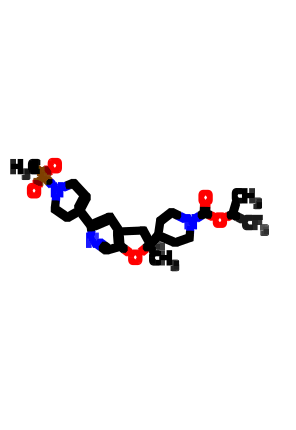 CC(OC(=O)N1CCC([C@@]2(C)Cc3cc(C4=CCN(S(C)(=O)=O)CC4)ncc3O2)CC1)C(F)(F)F